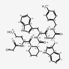 Cc1ccc(CNC(=O)[C@H](Cc2c[nH]c3ccccc23)NC(=O)[C@H](Cc2c[nH]c3ccccc23)NC(=O)[C@@H]2CCCCN2C(=O)[C@H](CCC(=O)O)NC(=O)CCl)cc1